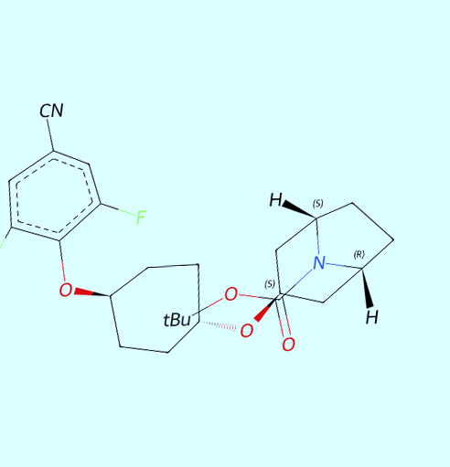 CC(C)(C)OC(=O)N1[C@@H]2CC[C@H]1C[C@H](O[C@H]1CC[C@H](Oc3c(F)cc(C#N)cc3F)CC1)C2